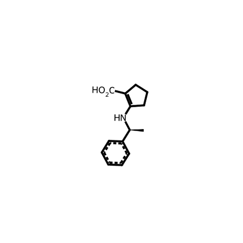 C[C@H](NC1=C(C(=O)O)CCC1)c1ccccc1